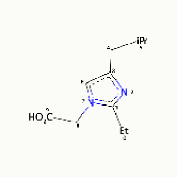 CCc1nc(CC(C)C)cn1CC(=O)O